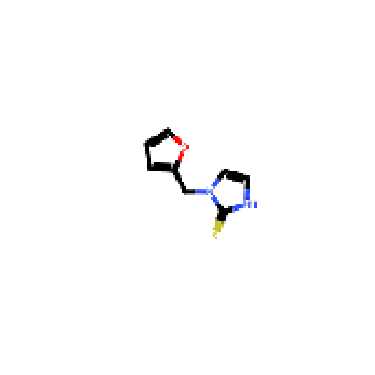 S=c1[nH]ccn1Cc1ccco1